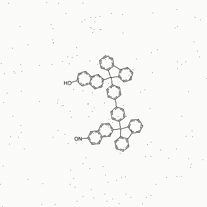 O=Nc1ccc2cc(C3(c4ccc(-c5ccc(C6(c7ccc8cc(O)ccc8c7)c7ccccc7-c7ccccc76)cc5)cc4)c4ccccc4-c4ccccc43)ccc2c1